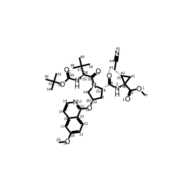 COC(=O)[C@@]1(NC(=O)[C@@H]2C[C@@H](Oc3nccc4cc(OC)ccc34)CN2C(=O)[C@@H](NC(=O)OC(C)(C)C)C(C)(C)C)C[C@H]1CC#N